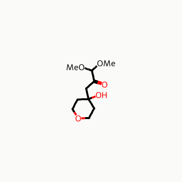 COC(OC)C(=O)CC1(O)CCOCC1